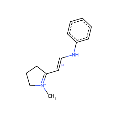 C[N+]1=C(/C=C/Nc2ccccc2)CCC1